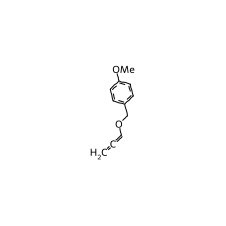 C=C=COCc1ccc(OC)cc1